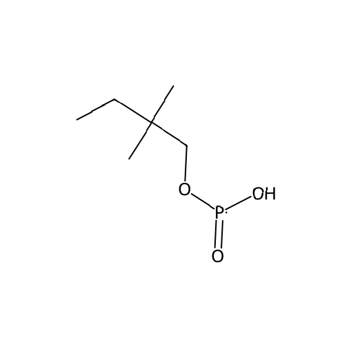 CCC(C)(C)CO[P](=O)O